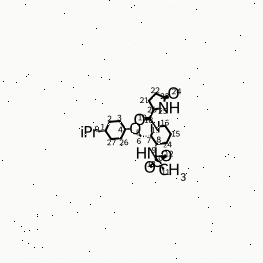 CC(C)[C@H]1CC[C@@H](OC[C@H]2[C@@H](NS(C)(=O)=O)CCCN2C(=O)C2CCC(=O)N2)CC1